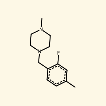 Cc1ccc(CN2CCN(C)CC2)c(F)c1